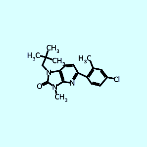 Cc1cc(Cl)ccc1-c1ccc2c(n1)n(C)c(=O)n2CC(C)(C)C